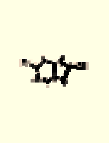 CC(C)C1Cc2sc(O)nc2C=N1